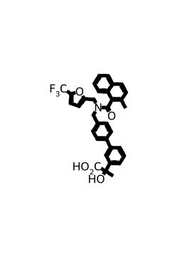 Cc1ccc2ccccc2c1C(=O)N(Cc1ccc(-c2cccc(C(C)(O)C(=O)O)c2)cc1)Cc1ccc(C(F)(F)F)o1